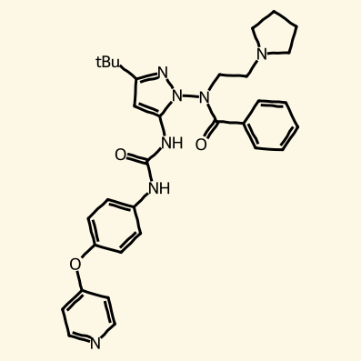 CC(C)(C)c1cc(NC(=O)Nc2ccc(Oc3ccncc3)cc2)n(N(CCN2CCCC2)C(=O)c2ccccc2)n1